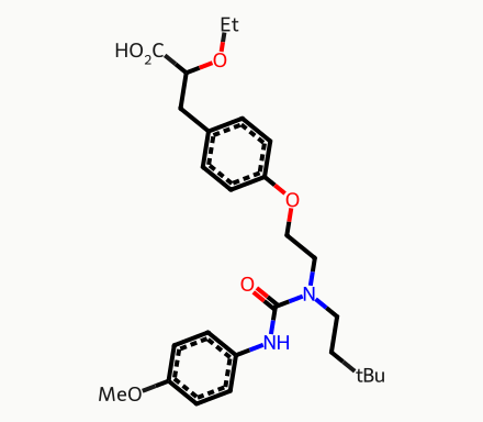 CCOC(Cc1ccc(OCCN(CCC(C)(C)C)C(=O)Nc2ccc(OC)cc2)cc1)C(=O)O